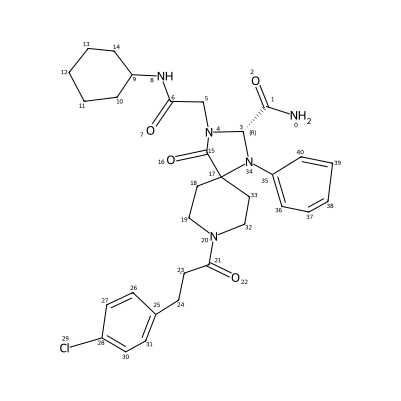 NC(=O)[C@H]1N(CC(=O)NC2CCCCC2)C(=O)C2(CCN(C(=O)[CH]Cc3ccc(Cl)cc3)CC2)N1c1ccccc1